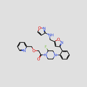 O=C(COCc1ccccn1)N1CCN(c2ccccc2-c2cc(CNc3ccon3)on2)CC1F